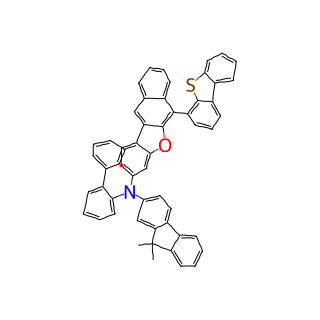 CC1(C)c2ccccc2-c2ccc(N(c3ccc4c(c3)oc3c(-c5cccc6c5sc5ccccc56)c5ccccc5cc34)c3ccccc3-c3ccccc3)cc21